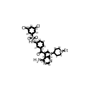 CCN1CCC(n2cc(C(=O)c3cccc(NS(=O)(=O)c4cc(Cl)cc(Cl)c4)c3)c3c(N)ncnc32)CC1